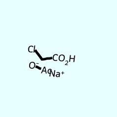 CC(=O)[O-].O=C(O)CCl.[Na+]